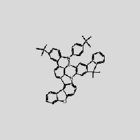 CC(C)(C)c1ccc(N2B3c4cc5c(cc4-n4c6ccc7oc8ccccc8c7c6c6ccc(c3c64)-c3cc(C(C)(C)C)ccc32)C(C)(C)c2ccccc2-5)cc1